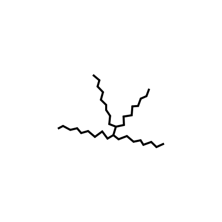 CCCCCCCCCC(CCCCCCCC)C(CCCCCCCC)CCCCCCCCC